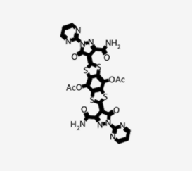 CC(=O)Oc1c2c(c(OC(C)=O)c3c1SC(=C1C(=O)N(c4ncccn4)N=C1C(N)=O)S3)SC(=C1C(=O)N(c3ncccn3)N=C1C(N)=O)S2